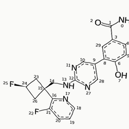 NC(=O)c1ccc(O)c(-c2cnc(NC[C@]3(c4ncccc4F)C[C@H](F)C3)nc2)c1